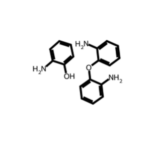 Nc1ccccc1O.Nc1ccccc1Oc1ccccc1N